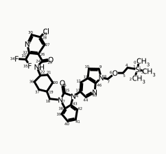 C[Si](C)(C)CCOCn1ccc2cc(-n3c(=O)n(CC4CCC(NC(=O)c5cc(Cl)cnc5C(F)F)CC4)c4ccccc43)cnc21